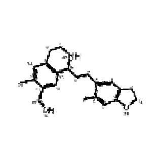 Cc1cc2c(cc1/C=C/C1NCCc3cc(C)c(CO)cc31)CCO2